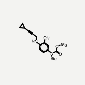 CCC(C)N(C(=O)OC(C)(C)C)c1ccc(NCC#CC2CC2)c(O)c1